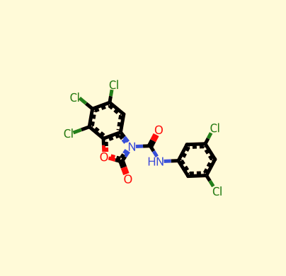 O=C(Nc1cc(Cl)cc(Cl)c1)n1c(=O)oc2c(Cl)c(Cl)c(Cl)cc21